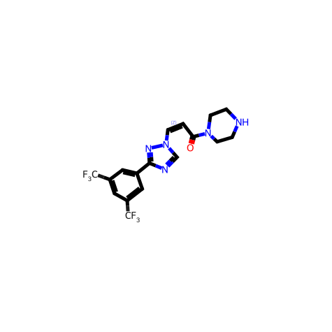 O=C(/C=C\n1cnc(-c2cc(C(F)(F)F)cc(C(F)(F)F)c2)n1)N1CCNCC1